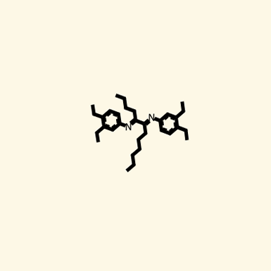 CCCCCCC(=N\c1ccc(CC)c(CC)c1)/C(CCCC)=N/c1ccc(CC)c(CC)c1